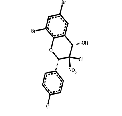 O=[N+]([O-])[C@]1(Cl)[C@@H](O)c2cc(Br)cc(Br)c2O[C@H]1c1ccc(Cl)cc1